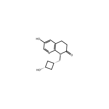 O=C1CCc2cc(O)cnc2N1C[C@H]1C[C@@H](O)C1